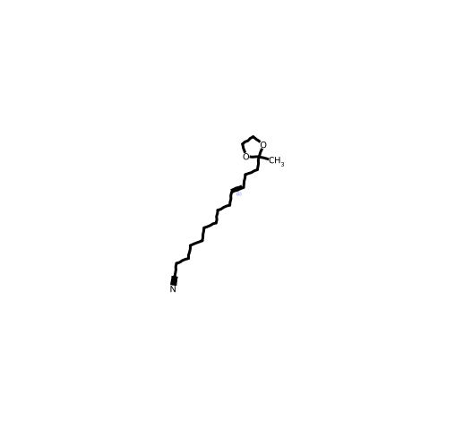 CC1(CC/C=C/CCCCCCCCC#N)OCCO1